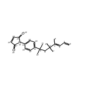 C=C/C=C(\C)C(C)(C)CC(C)(C)c1ccc(N2C(=O)C=CC2=O)cc1